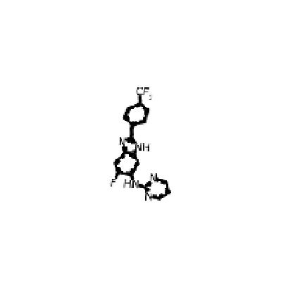 Fc1cc2nc(-c3ccc(C(F)(F)F)cc3)[nH]c2cc1Nc1ncccn1